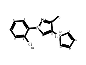 Cc1nn(-c2ccccc2Cl)cc1[SH]1C=CC=C1